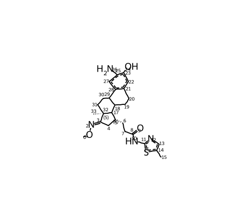 CON=C1C[C@@H](CCC(=O)Nc2ncc(C)s2)C2C3CCc4cc(O)c(N)cc4C3CC[C@]12C